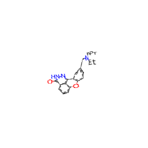 CCCN(CC)Cc1ccc2c(c1)-c1n[nH]c(=O)c3cccc(c13)O2